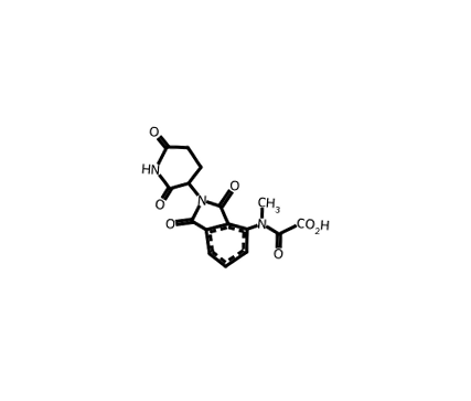 CN(C(=O)C(=O)O)c1cccc2c1C(=O)N(C1CCC(=O)NC1=O)C2=O